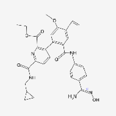 C=Cc1cc(C(=O)Nc2ccc(/C(N)=N/O)cc2)c(-c2ccc(C(=O)NCC3CC3)nc2C(=O)OCC)cc1OC